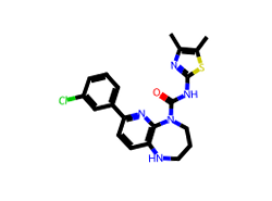 Cc1nc(NC(=O)N2CCCNc3ccc(-c4cccc(Cl)c4)nc32)sc1C